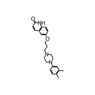 Cc1ccc(N2CCN(CCCOc3ccc4[nH]c(=O)ccc4c3)CC2)cc1C